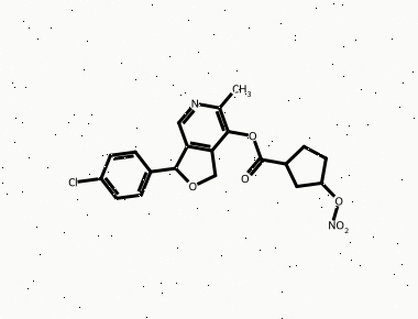 Cc1ncc2c(c1OC(=O)C1CCC(O[N+](=O)[O-])C1)COC2c1ccc(Cl)cc1